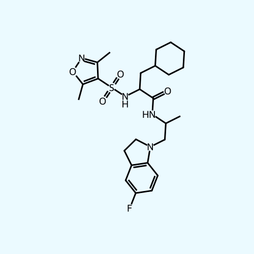 Cc1noc(C)c1S(=O)(=O)NC(CC1CCCCC1)C(=O)NC(C)CN1CCc2cc(F)ccc21